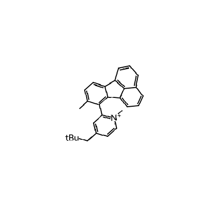 Cc1ccc2c(c1-c1cc(CC(C)(C)C)cc[n+]1C)-c1cccc3cccc-2c13